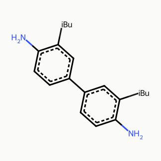 CCC(C)c1cc(-c2ccc(N)c(C(C)CC)c2)ccc1N